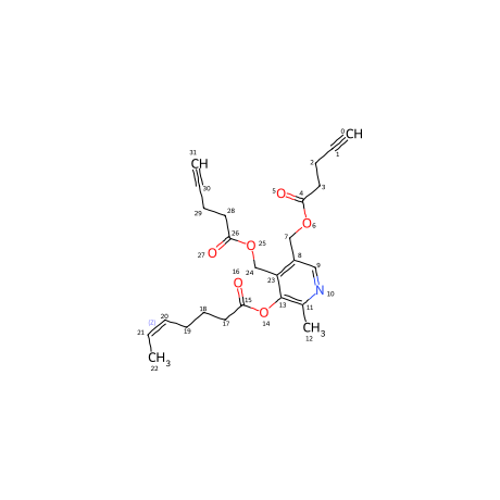 C#CCCC(=O)OCc1cnc(C)c(OC(=O)CCC/C=C\C)c1COC(=O)CCC#C